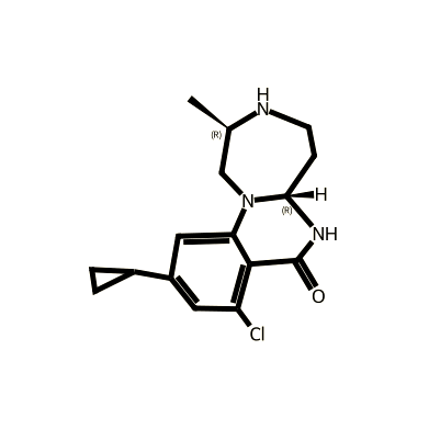 C[C@@H]1CN2c3cc(C4CC4)cc(Cl)c3C(=O)N[C@H]2CCN1